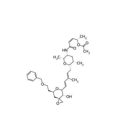 CC(=O)O[C@@H](C)/C=C\C(=O)N[C@@H]1C[C@H](C)[C@H](C/C=C(C)/C=C/C2O[C@H](CCOCc3ccccc3)C[C@]3(CO3)[C@H]2O)O[C@@H]1C